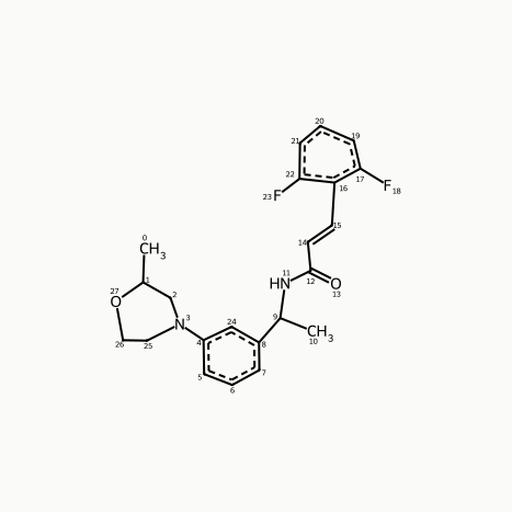 CC1CN(c2cccc(C(C)NC(=O)C=Cc3c(F)cccc3F)c2)CCO1